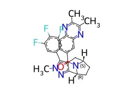 Cc1nc2ccc(C(=O)N3[C@H]4CC[C@@H]3c3nn(C)c(-c5cc(F)c(F)c(F)c5)c3C4)cc2nc1C